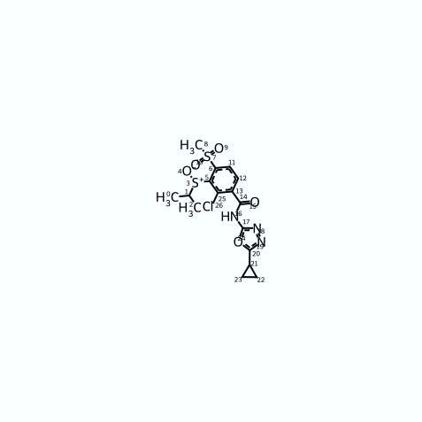 CC(C)[S+]([O-])c1c(S(C)(=O)=O)ccc(C(=O)Nc2nnc(C3CC3)o2)c1Cl